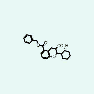 O=C(OCc1ccccc1)c1ccccc1CC(C(=O)O)C(O)C1CCCCC1